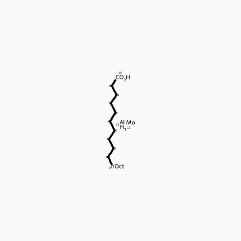 CCCCCCCCCCCCCCCCCC(=O)O.[AlH3].[Mo]